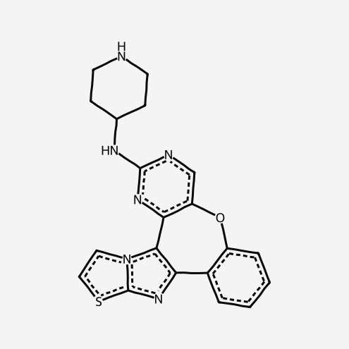 c1ccc2c(c1)Oc1cnc(NC3CCNCC3)nc1-c1c-2nc2sccn12